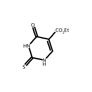 CCOC(=O)c1c[nH]c(=S)[nH]c1=O